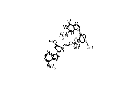 Nc1nc2c(ncn2[C@@H]2O[C@H](CO)C[C@H]2O[P@](=O)(S)OCC[C@H]2O[C@@H](c3cnc4c(N)ncnn34)C[C@@H]2O)c(=O)[nH]1